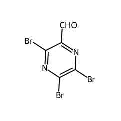 O=Cc1nc(Br)c(Br)nc1Br